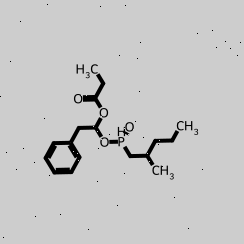 CCCC(C)C[PH](=O)OC(Cc1ccccc1)OC(=O)CC